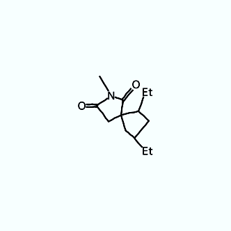 CCC1CC(CC)C2(CC(=O)N(C)C2=O)C1